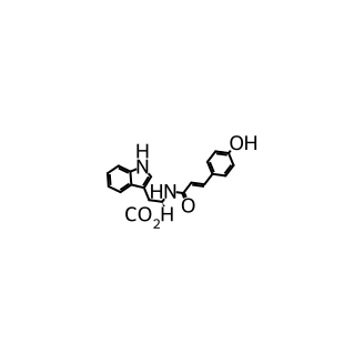 O=C(C=Cc1ccc(O)cc1)N[C@@H](Cc1c[nH]c2ccccc12)C(=O)O